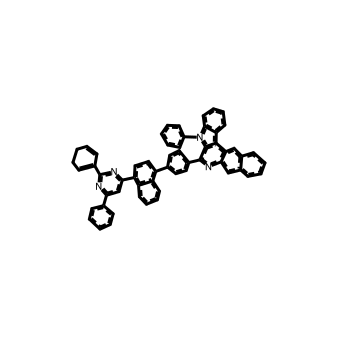 C1=CC(c2nc(-c3ccccc3)cc(-c3ccc(-c4ccc(-c5nc6cc7ccccc7cc6c6c7ccccc7n(-c7ccccc7)c56)cc4)c4ccccc34)n2)=CCC1